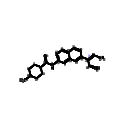 CN1CCC(C(=O)Nc2cc3cc(/C(C=N)=C/N)ccc3cn2)CC1